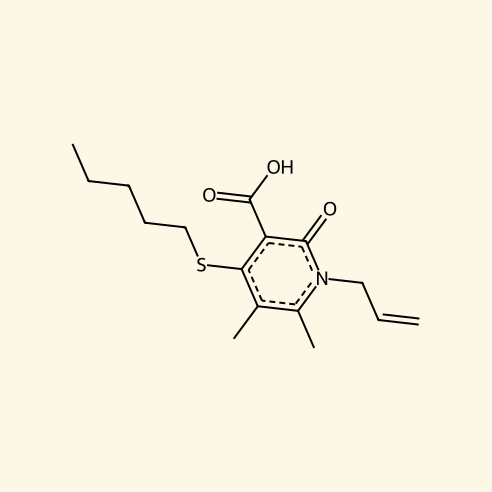 C=CCn1c(C)c(C)c(SCCCCC)c(C(=O)O)c1=O